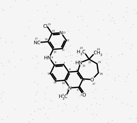 Cn1c(=O)c2c(c3cc(Nc4ccnc(Cl)c4C#N)ccc31)NC(C)(C)CCO2